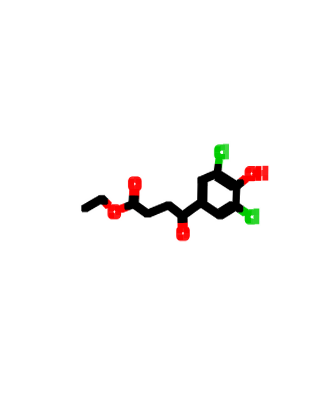 CCOC(=O)CCC(=O)c1cc(Cl)c(O)c(Cl)c1